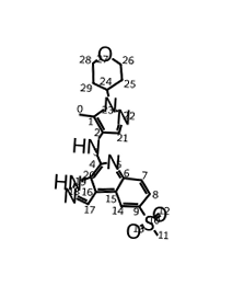 Cc1c(Nc2nc3ccc(S(C)(=O)=O)cc3c3cn[nH]c23)cnn1C1CCOCC1